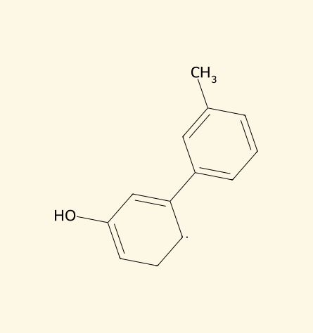 Cc1cccc(C2=CC(O)=CC[CH]2)c1